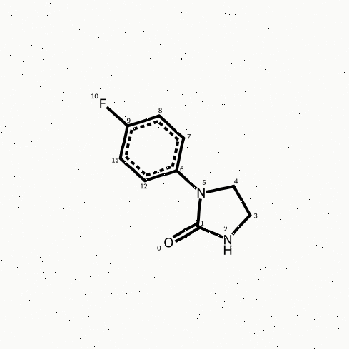 O=C1NCCN1c1ccc(F)cc1